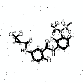 CS(=O)(=O)N(c1c(F)ccc(NC(=O)c2cc(NC(=O)[C@H]3CC3(Cl)Cl)ccc2Cl)c1F)S(C)(=O)=O